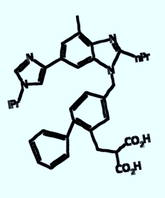 CCCc1nc2c(C)cc(-c3cn(C(C)C)cn3)cc2n1Cc1ccc(-c2ccccc2)c(CC(C(=O)O)C(=O)O)c1